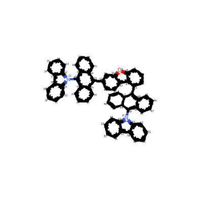 C1=CC2C(c3cccc4oc5cc(-c6c7ccccc7c(-n7c8ccccc8c8ccccc87)c7ccccc67)ccc5c34)=c3ccccc3=C(n3c4ccccc4c4ccccc43)C2C=C1